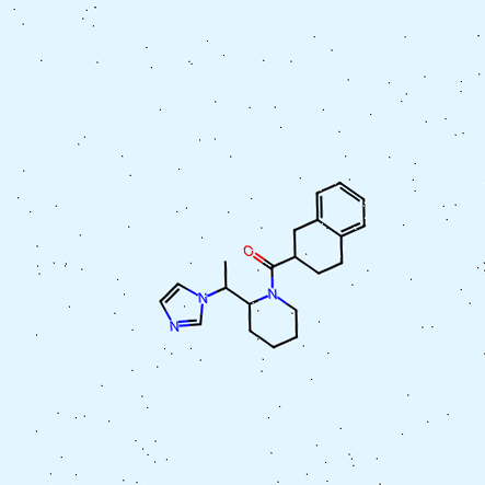 CC(C1CCCCN1C(=O)C1CCc2ccccc2C1)n1ccnc1